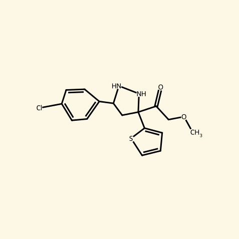 COCC(=O)C1(c2cccs2)CC(c2ccc(Cl)cc2)NN1